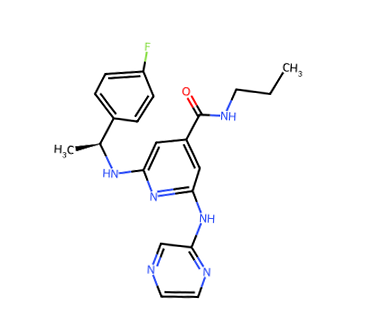 CCCNC(=O)c1cc(Nc2cnccn2)nc(N[C@@H](C)c2ccc(F)cc2)c1